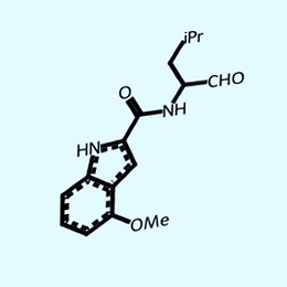 COc1cccc2[nH]c(C(=O)NC(C=O)CC(C)C)cc12